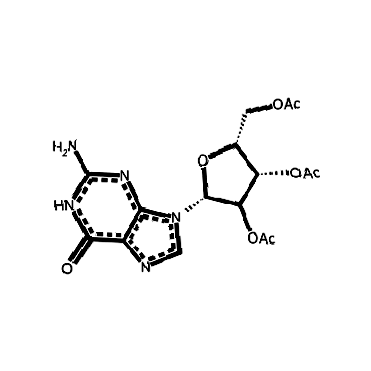 CC(=O)OC[C@H]1O[C@@H](n2cnc3c(=O)[nH]c(N)nc32)C(OC(C)=O)[C@H]1OC(C)=O